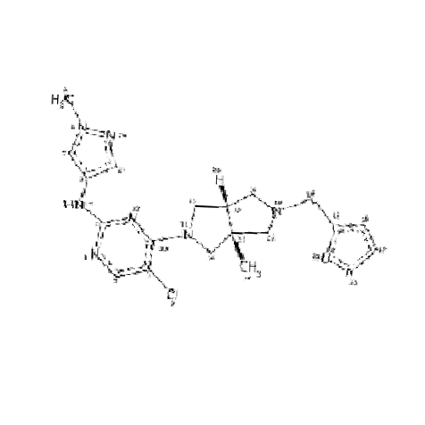 Cn1cc(Nc2ncc(Cl)c(N3C[C@@H]4CN(Cc5ccno5)C[C@]4(C)C3)n2)cn1